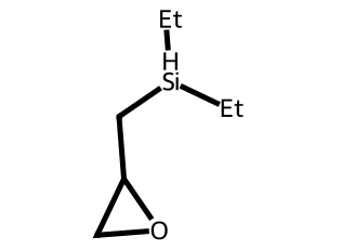 CC[SiH](CC)CC1CO1